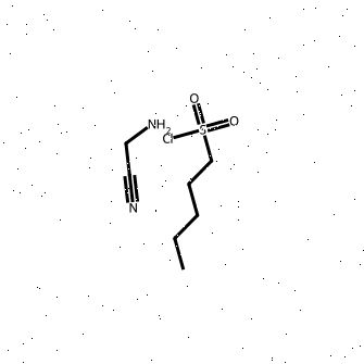 CCCCCS(=O)(=O)Cl.N#CCN